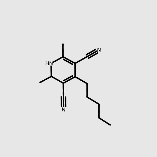 CCCCCC1=C(C#N)C(C)NC(C)=C1C#N